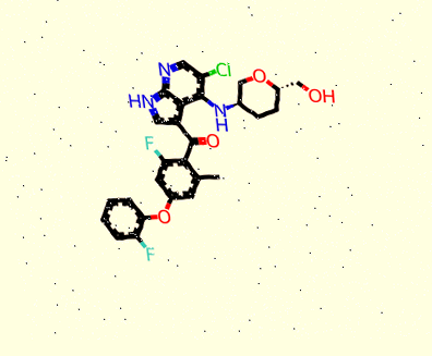 Cc1cc(Oc2ccccc2F)cc(F)c1C(=O)c1c[nH]c2ncc(Cl)c(N[C@@H]3CC[C@@H](CO)OC3)c12